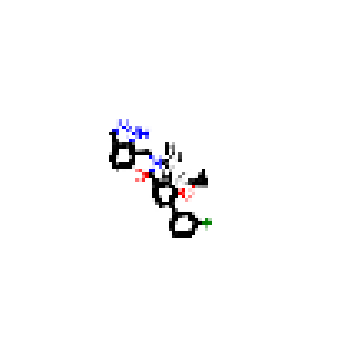 CN(Cc1cccc2cn[nH]c12)C(=O)c1ccc(-c2cccc(F)c2)c(OC2(C)CC2)c1